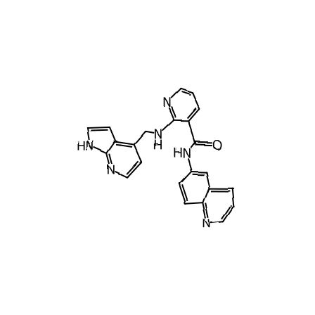 O=C(Nc1ccc2ncccc2c1)c1cccnc1NCc1ccnc2[nH]ccc12